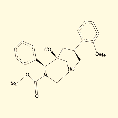 COc1ccccc1[C@@H](CO)C[C@]1(O)CCCN(C(=O)OC(C)(C)C)[C@H]1c1ccccc1